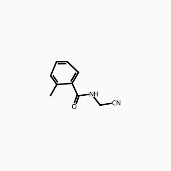 Cc1ccccc1C(=O)NCC#N